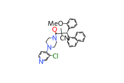 COc1ccccc1[C@@H](c1cccc2ccccc12)[C@](C)(C#N)C(=O)N1CCN(c2ccncc2Cl)CC1